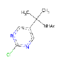 CC(=O)NC(C)(C)c1cnc(Cl)nc1